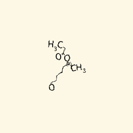 CCC(=O)O[C@H](C)CCCCC=O